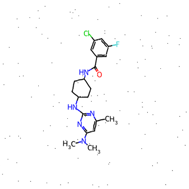 Cc1cc(N(C)C)nc(NC2CCC(NC(=O)c3cc(F)cc(Cl)c3)CC2)n1